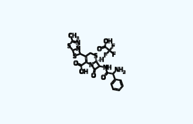 CC1=NN2C(S1)SC2C1=C(C(=O)O)N2C(=O)C(NC(=O)C(N)c3ccccc3)[C@@H]2SC1.O=C(O)C(F)(F)F